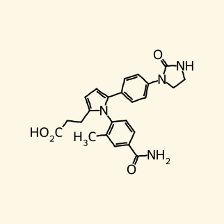 Cc1cc(C(N)=O)ccc1-n1c(CCC(=O)O)ccc1-c1ccc(N2CCNC2=O)cc1